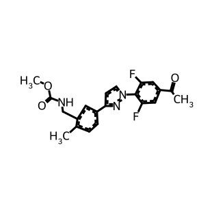 COC(=O)NCc1cc(-c2ccn(-c3c(F)cc(C(C)=O)cc3F)n2)ccc1C